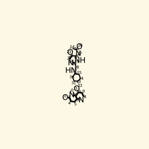 Cn1c(=O)ccc2nccc(OC[C@H]3CC[C@H](NCC4=NC=C5OCC(=O)N=C5N4)CC3)c21